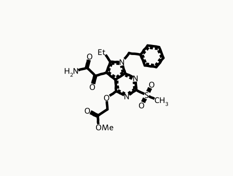 CCc1c(C(=O)C(N)=O)c2c(OCC(=O)OC)nc(S(C)(=O)=O)nc2n1Cc1ccccc1